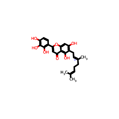 CC(C)=CCC/C(C)=C/Cc1c(O)cc2oc(-c3ccc(O)c(O)c3O)cc(=O)c2c1O